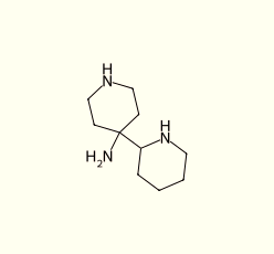 NC1(C2CCCCN2)CCNCC1